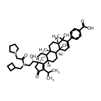 CC(C)C1=C2[C@H]3CC[C@@H]4[C@@]5(C)CC=C(c6ccc(C(=O)O)cc6)C(C)(C)[C@H]5CC[C@@]4(C)[C@]3(C)CC[C@@]2([C@@H](O)CN(CC2CCC2)C(=O)CN2CCCC2)CC1=O